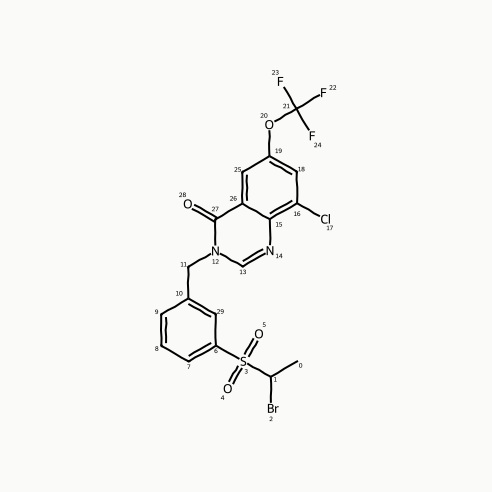 CC(Br)S(=O)(=O)c1cccc(Cn2cnc3c(Cl)cc(OC(F)(F)F)cc3c2=O)c1